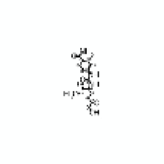 COC(=O)CCC(NC(=O)Nc1ccc(C(N)=O)cc1)C(=O)OC